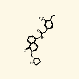 O=C(Cc1ccc(CI)c(C(F)(F)F)c1)Nc1cccc2c(=O)n(C[C@H]3CCCN3)ccc12